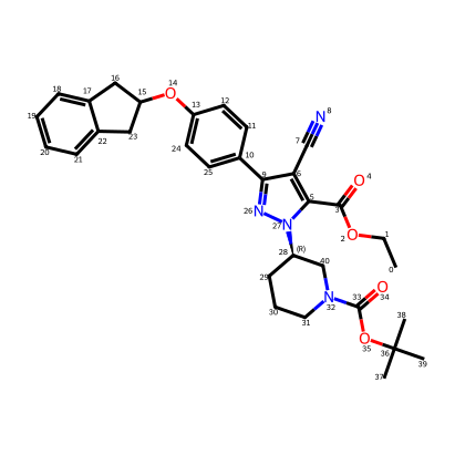 CCOC(=O)c1c(C#N)c(-c2ccc(OC3Cc4ccccc4C3)cc2)nn1[C@@H]1CCCN(C(=O)OC(C)(C)C)C1